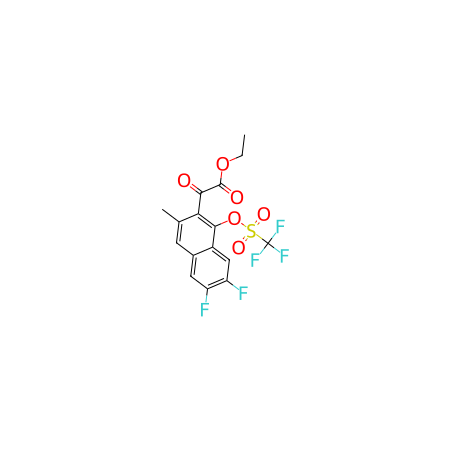 CCOC(=O)C(=O)c1c(C)cc2cc(F)c(F)cc2c1OS(=O)(=O)C(F)(F)F